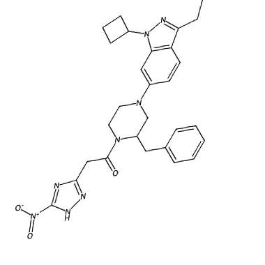 CCc1nn(C2CCC2)c2cc(N3CCN(C(=O)Cc4n[nH]c([N+](=O)[O-])n4)C(Cc4ccccc4)C3)ccc12